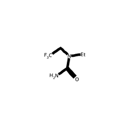 CCN(CC(F)(F)F)C(N)=O